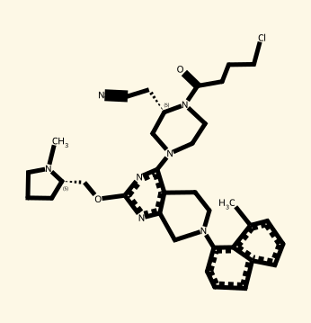 Cc1cccc2cccc(N3CCc4c(nc(OC[C@@H]5CCCN5C)nc4N4CCN(C(=O)CCCCl)[C@@H](CC#N)C4)C3)c12